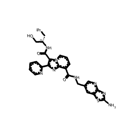 CC(C)C[C@@H](CO)NC(=O)c1c(-c2ccccn2)nc2c(C(=O)NCc3cnc4nc(N)sc4c3)cccn12